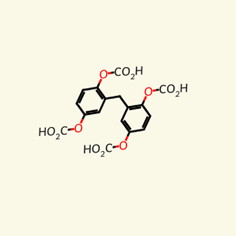 O=C(O)Oc1ccc(OC(=O)O)c(Cc2cc(OC(=O)O)ccc2OC(=O)O)c1